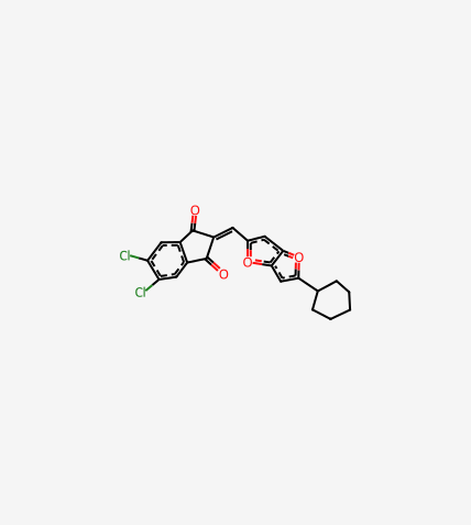 O=C1C(=Cc2cc3oc(C4CCCCC4)cc3o2)C(=O)c2cc(Cl)c(Cl)cc21